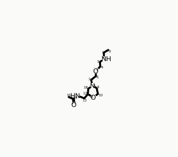 CCNCCOCCN1CCOC(CNC(C)=O)C1